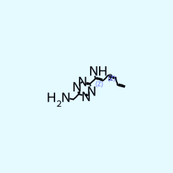 C=C/C=C\C=C(/N)c1nnc(CN)nn1